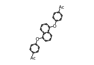 CC(=O)c1ccc(Oc2cccc3c(Oc4ccc(C(C)=O)cc4)cccc23)cc1